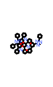 c1ccc(-c2cc(-c3cc(-c4ccccc4-n4c5ccccc5c5ccccc54)c(-n4c5ccccc5c5cc(-c6ncnc(-c7ccccc7)n6)ccc54)c(-c4ccccc4-n4c5ccccc5c5ccccc54)c3)nc(-c3ccccc3)n2)cc1